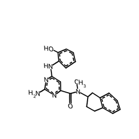 CN(C(=O)c1cc(Nc2ccccc2O)nc(N)n1)C1CCc2ccccc2C1